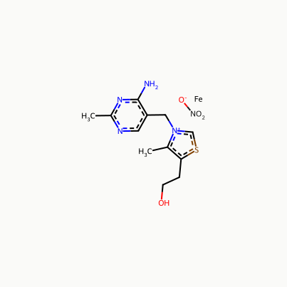 Cc1ncc(C[n+]2csc(CCO)c2C)c(N)n1.O=[N+]([O-])[O-].[Fe]